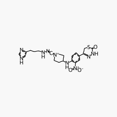 O=C1NN=C(c2ccc(NC3CC[N+](=C=NNCCCc4c[nH]cn4)CC3)c([N+](=O)[O-])c2)CS1